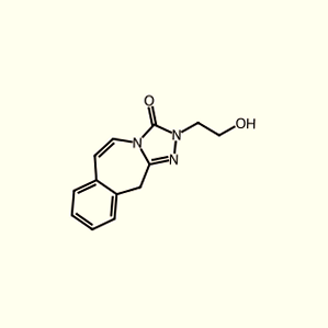 O=c1n(CCO)nc2n1C=Cc1ccccc1C2